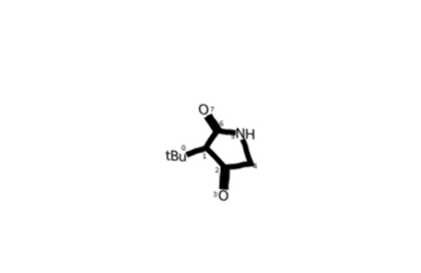 CC(C)(C)C1C(=O)CNC1=O